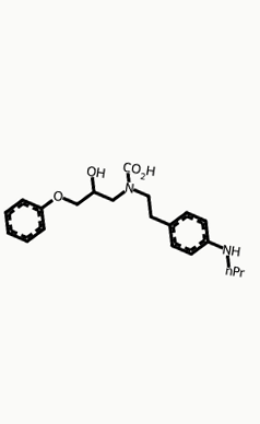 CCCNc1ccc(CCN(CC(O)COc2ccccc2)C(=O)O)cc1